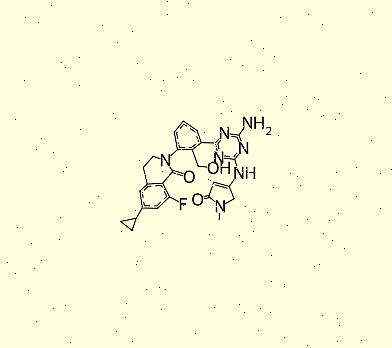 CN1CC(Nc2nc(N)nc(-c3cccc(N4CCc5cc(C6CC6)cc(F)c5C4=O)c3CO)n2)=CC1=O